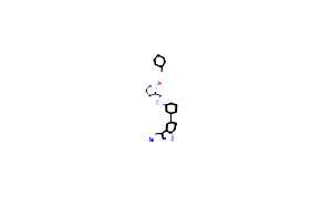 CN(C)Cc1c[nH]c2ccc(-c3cccc(NC(=O)C4CCCN4C(=O)OCc4ccccc4)c3)cc12